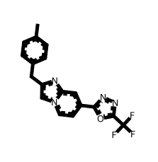 Cc1ccc(Cc2cn3ccc(-c4nnc(C(F)(F)F)o4)cc3n2)cc1